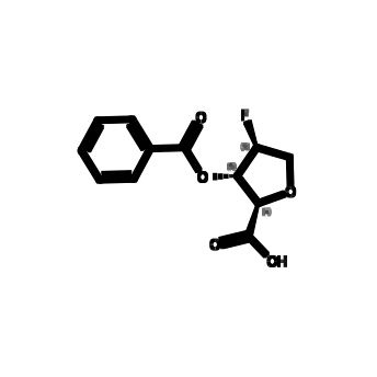 O=C(O[C@@H]1[C@@H](F)CO[C@H]1C(=O)O)c1ccccc1